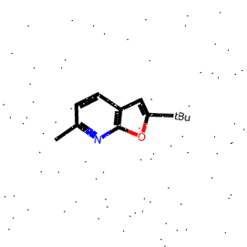 Cc1ccc2cc(C(C)(C)C)oc2n1